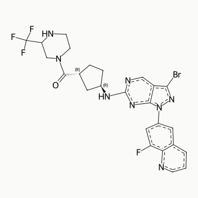 O=C([C@@H]1CC[C@@H](Nc2ncc3c(Br)nn(-c4cc(F)c5ncccc5c4)c3n2)C1)N1CCNC(C(F)(F)F)C1